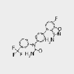 NC(=O)N(c1ccc(-c2ccc(F)c3onc(N)c23)cc1)c1cccc(C(F)(F)F)c1